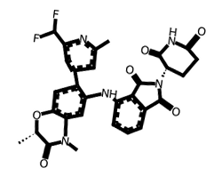 Cc1cc(-c2cc3c(cc2Nc2cccc4c2C(=O)N([C@H]2CCC(=O)NC2=O)C4=O)N(C)C(=O)[C@H](C)O3)cc(C(F)F)n1